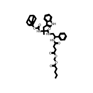 CCCCC(=O)OCOC(=O)CCC(=O)NC(CNC(=O)C(C)(Cc1c[nH]c2ccccc12)NC(=O)OC1C2CC3CC(C2)CC1C3)c1ccccc1